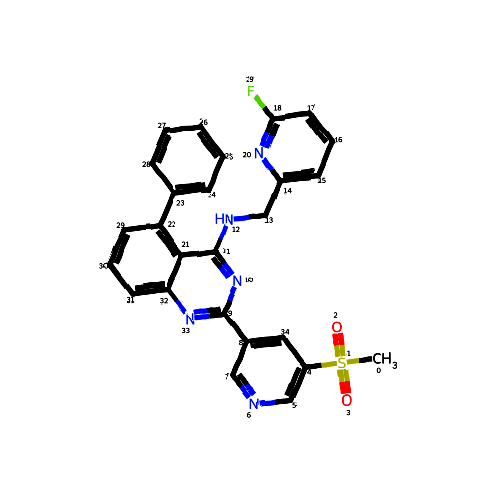 CS(=O)(=O)c1cncc(-c2nc(NCc3cccc(F)n3)c3c(-c4ccccc4)cccc3n2)c1